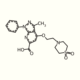 Cc1nn(-c2ccccc2)c2nc(C(=O)O)cc(OCCN3CCS(=O)(=O)CC3)c12